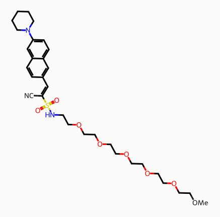 COCCOCCOCCOCCOCCOCCNS(=O)(=O)/C(C#N)=C/c1ccc2cc(N3CCCCC3)ccc2c1